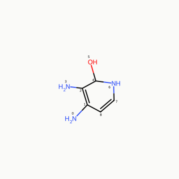 NC1=C(N)C(O)NC=C1